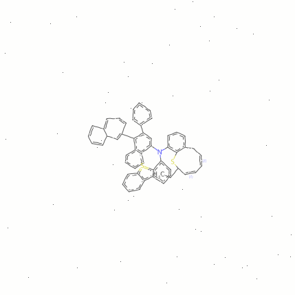 CCC1/C=C\C=C/Cc2cccc(N(c3cc(-c4ccccc4)c(C4=CC5C=CC=CC5=CC=C4)c4ccccc34)c3cccc4c3sc3ccccc34)c2S1